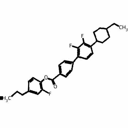 CCCc1ccc(OC(=O)c2ccc(-c3ccc(C4CCC(CC)CC4)c(F)c3F)cc2)c(F)c1